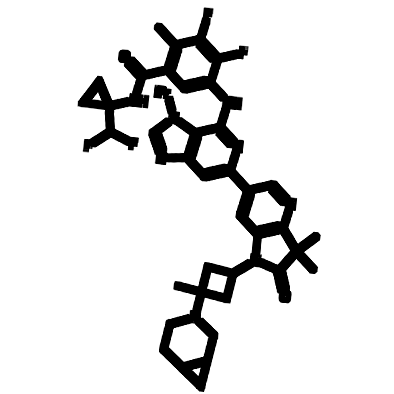 Cc1c(C(=O)NC2(C(F)F)CC2)cc(Nc2nc(-c3cnc4c(c3)N(C3CC(C)(N5CCC6CC6C5)C3)C(=O)C4(C)C)cc3ncn(C(C)C)c23)c(F)c1F